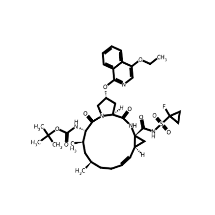 CCOc1cnc(O[C@@H]2C[C@H]3C(=O)N[C@]4(C(=O)NS(=O)(=O)C5(F)CC5)C[C@H]4/C=C\CC[C@@H](C)C[C@@H](C)[C@H](NC(=O)OC(C)(C)C)C(=O)N3C2)c2ccccc12